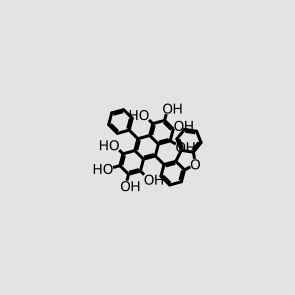 Oc1c(O)c(O)c2c(-c3cccc4oc5ccccc5c34)c3c(O)c(O)c(O)c(O)c3c(-c3ccccc3)c2c1O